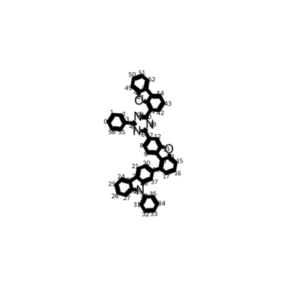 c1ccc(-c2nc(-c3ccc4c(c3)oc3cccc(-c5ccc6c7ccccc7n(-c7ccccc7)c6c5)c34)nc(-c3cccc4c3oc3ccccc34)n2)cc1